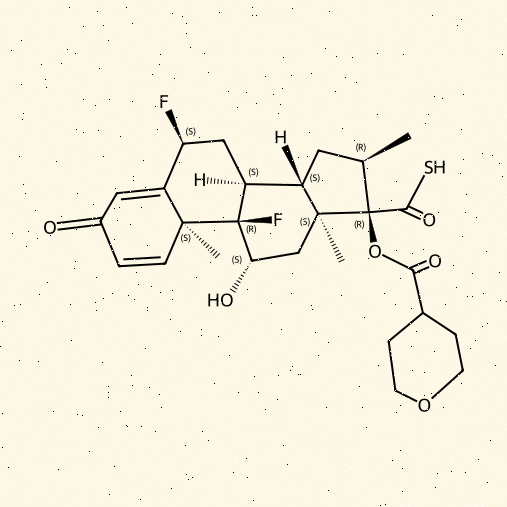 C[C@@H]1C[C@H]2[C@@H]3C[C@H](F)C4=CC(=O)C=C[C@]4(C)[C@@]3(F)[C@@H](O)C[C@]2(C)[C@@]1(OC(=O)C1CCOCC1)C(=O)S